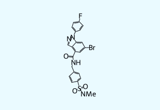 CNS(=O)(=O)c1ccc(CNC(=O)c2cc(Br)cc3c2cnn3-c2ccc(F)cc2)cc1